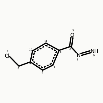 N=NC(=O)c1ccc(CCl)cc1